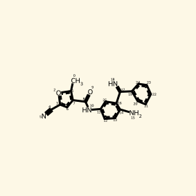 Cc1oc(C#N)cc1C(=O)Nc1ccc(N)c(C(=N)c2ccccc2)c1